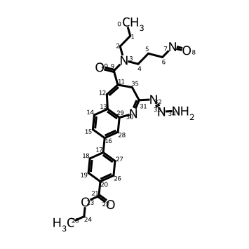 CCCN(CCCN=O)C(=O)C1=Cc2ccc(-c3ccc(C(=O)OCC)cc3)cc2N=C(N=NN)C1